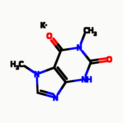 Cn1c(=O)[nH]c2ncn(C)c2c1=O.[K]